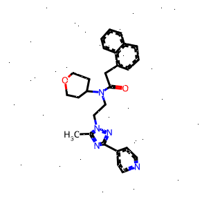 Cc1nc(-c2ccncc2)nn1CCN(C(=O)Cc1cccc2ccccc12)C1CCOCC1